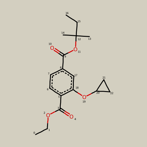 CCOC(=O)c1ccc(C(=O)OC(C)(C)CC)cc1OC1CC1